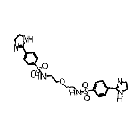 O=S(=O)(NCCOCCNS(=O)(=O)c1ccc(C2=NCCN2)cc1)c1ccc(C2=NCCN2)cc1